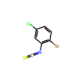 S=C=Nc1cc(Cl)ccc1Br